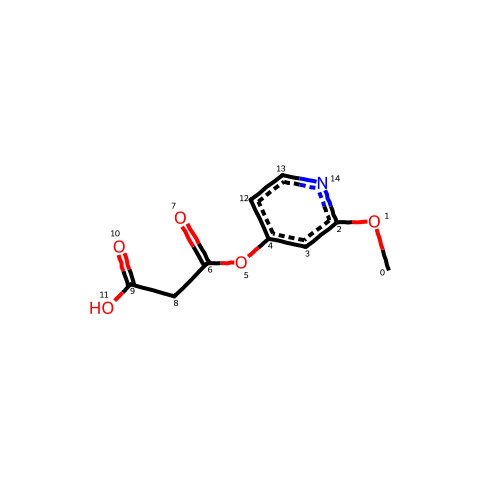 COc1cc(OC(=O)CC(=O)O)ccn1